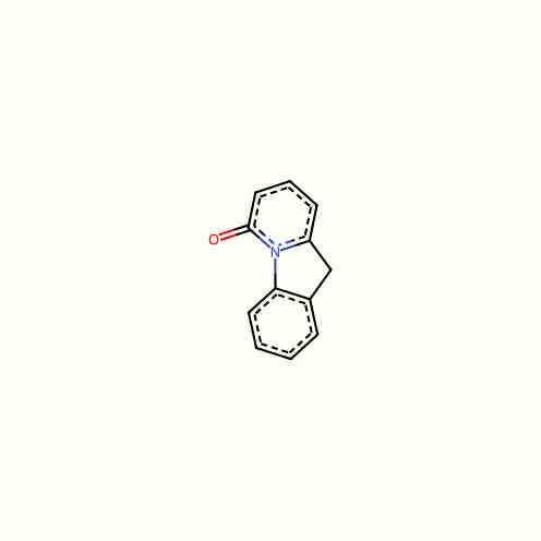 O=c1cccc2n1-c1ccccc1C2